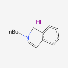 CCCCN1C=Cc2ccccc2C1.I